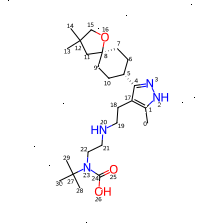 Cc1[nH]nc([C@H]2CC[C@]3(CC2)CC(C)(C)CO3)c1CCNCCN(C(=O)O)C(C)(C)C